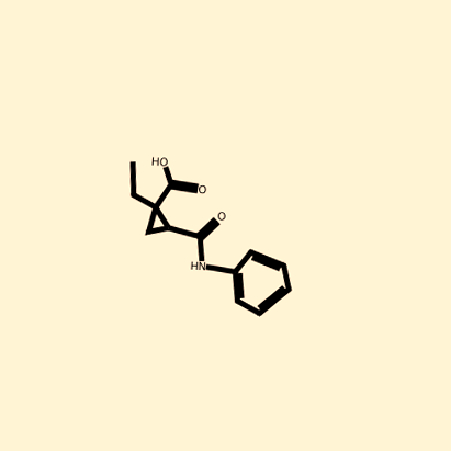 CCC1(C(=O)O)CC1C(=O)Nc1ccccc1